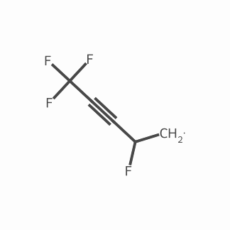 [CH2]C(F)C#CC(F)(F)F